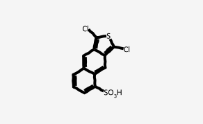 O=S(=O)(O)c1cccc2cc3c(Cl)sc(Cl)c3cc12